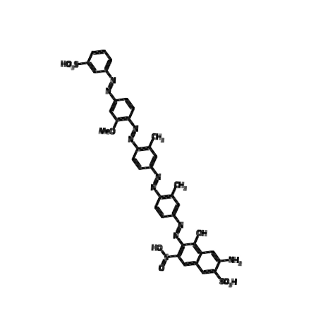 COc1cc(N=Nc2cccc(S(=O)(=O)O)c2)ccc1N=Nc1ccc(N=Nc2ccc(N=Nc3c(S(=O)O)cc4cc(S(=O)(=O)O)c(N)cc4c3O)cc2C)cc1C